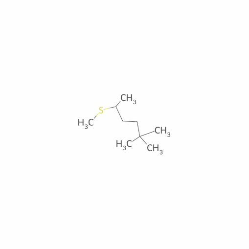 CSC(C)CCC(C)(C)C